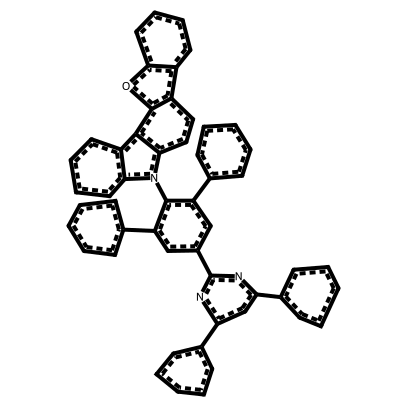 c1ccc(-c2cc(-c3ccccc3)nc(-c3cc(-c4ccccc4)c(-n4c5ccccc5c5c6oc7ccccc7c6ccc54)c(-c4ccccc4)c3)n2)cc1